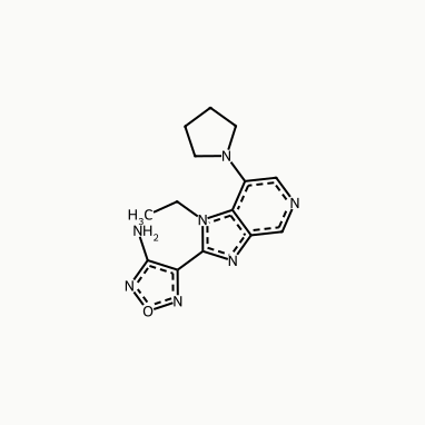 CCn1c(-c2nonc2N)nc2cncc(N3CCCC3)c21